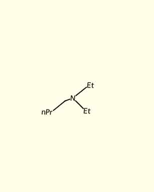 C[CH]CCN(CC)CC